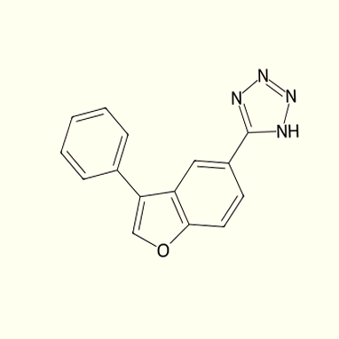 c1ccc(-c2coc3ccc(-c4nnn[nH]4)cc23)cc1